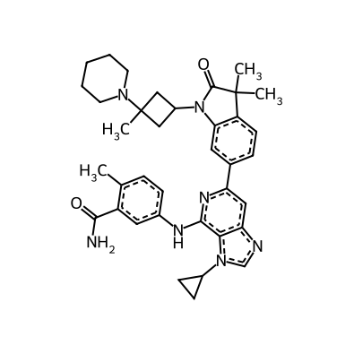 Cc1ccc(Nc2nc(-c3ccc4c(c3)N(C3CC(C)(N5CCCCC5)C3)C(=O)C4(C)C)cc3ncn(C4CC4)c23)cc1C(N)=O